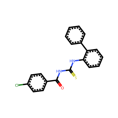 O=C(NC(=S)Nc1ccccc1-c1ccccc1)c1ccc(Cl)cc1